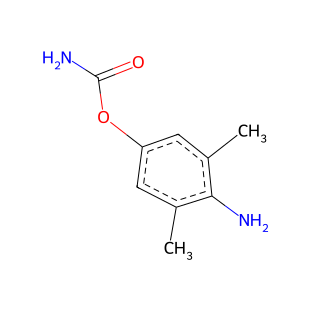 Cc1cc(OC(N)=O)cc(C)c1N